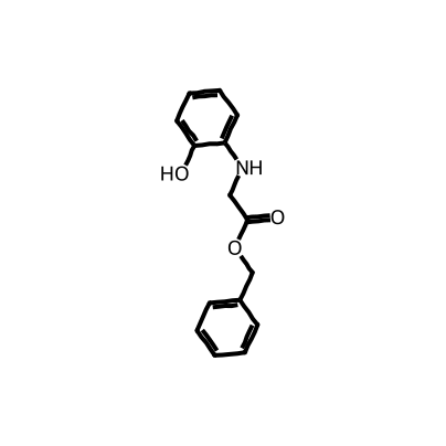 O=C(CNc1ccccc1O)OCc1ccccc1